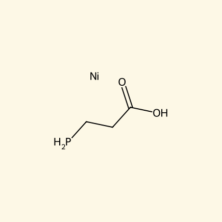 O=C(O)CCP.[Ni]